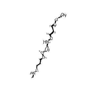 CNOCCCOOONOCCCOOO